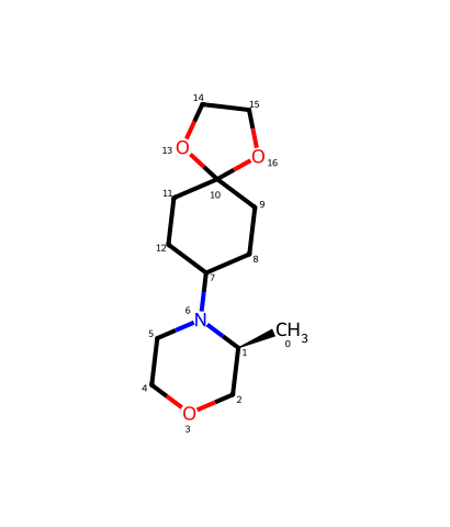 C[C@H]1COCCN1C1CCC2(CC1)OCCO2